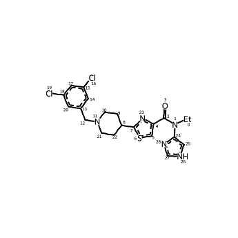 CCN(C(=O)c1csc(C2CCN(Cc3cc(Cl)cc(Cl)c3)CC2)n1)c1c[nH]cn1